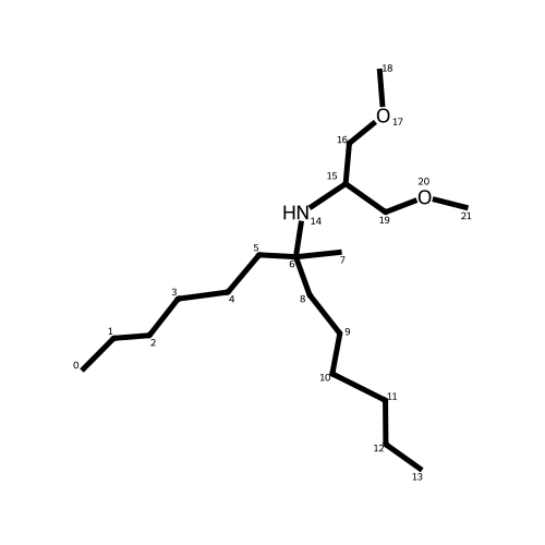 CCCCCCC(C)(CCCCCC)NC(COC)COC